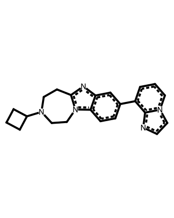 c1cc(-c2ccc3c(c2)nc2n3CCN(C3CCC3)CC2)c2nccn2c1